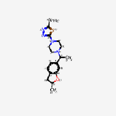 CC(=O)Nc1nnc(N2CCN(C(C)c3ccc4c(c3)O[C@@H](C)C4)CC2)s1